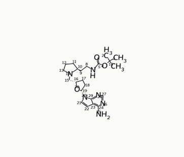 CC(C)(C)OC(=O)NCC[C@@H]1CCCN1C[C@@H]1CC[C@H](n2ccc3c(N)ncnc32)O1